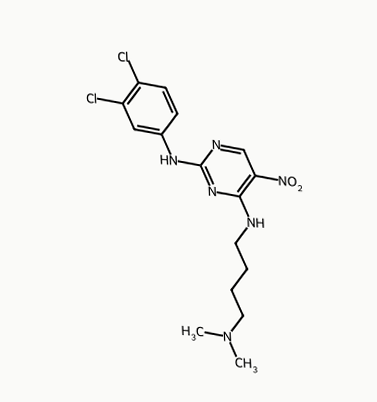 CN(C)CCCCNc1nc(Nc2ccc(Cl)c(Cl)c2)ncc1[N+](=O)[O-]